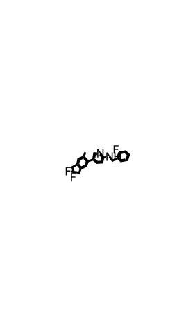 Cc1cc2c(cc1-c1ccc(NCc3ccccc3F)nc1)CC(F)(F)C2